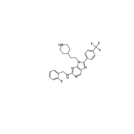 Fc1ccccc1CNc1ncc2nc(-c3ccc(C(F)(F)F)cc3)n(CCC3CCNCC3)c2n1